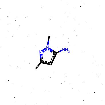 [CH2]n1nc(C)cc1N